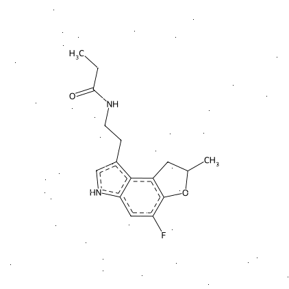 CCC(=O)NCCc1c[nH]c2cc(F)c3c(c12)CC(C)O3